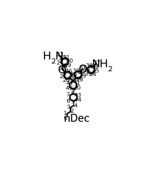 CCCCCCCCCCCCCC[C@H]1CC[C@H](C2CCC(c3ccc(Oc4cccc(N)c4)cc3)(c3ccc(Oc4cccc(N)c4)cc3)CC2)CC1